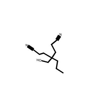 CCCC(CO)(CCC#N)CCC#N